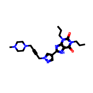 CCCn1c(=O)c2[nH]c(-c3cnn(CC#CCN4CCN(C)CC4)c3)nc2n(CCC)c1=O